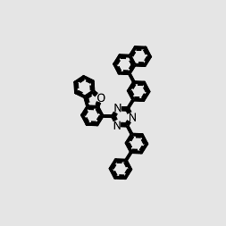 c1ccc(-c2cccc(-c3nc(-c4cccc(-c5cccc6ccccc56)c4)nc(-c4cccc5c4oc4ccccc45)n3)c2)cc1